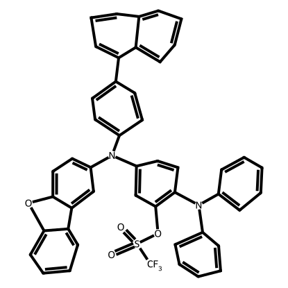 O=S(=O)(Oc1cc(N(c2ccc(-c3cccc4ccccc34)cc2)c2ccc3oc4ccccc4c3c2)ccc1N(c1ccccc1)c1ccccc1)C(F)(F)F